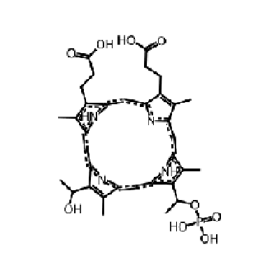 CC1=C(CCC(=O)O)c2cc3[nH]c(cc4nc(cc5[nH]c(cc1n2)c(C)c5C(C)OP(=O)(O)O)C(C)=C4C(C)O)c(C)c3CCC(=O)O